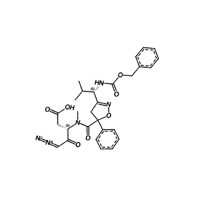 CC(C)[C@H](NC(=O)OCc1ccccc1)C1=NOC(C(=O)N(C)[C@@H](CC(=O)O)C(=O)C=[N+]=[N-])(c2ccccc2)C1